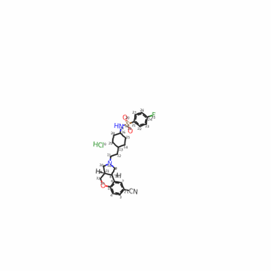 Cl.N#Cc1ccc2c(c1)[C@@H]1CN(CCC3CCC(NS(=O)(=O)c4ccc(F)cc4)CC3)C[C@H]1CO2